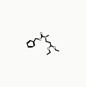 CCOC(CCN(C)C(=O)OCc1ccccc1)OCC